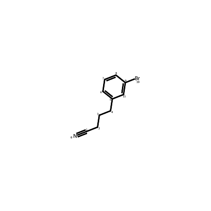 N#CCCCc1cccc(Br)c1